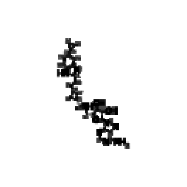 Nc1ncnc2c1ncn2[C@@H]1O[C@H](CNC[C@H]2C[C@H](CCc3nc4cc(C5CC5)ccc4[nH]3)C2)[C@@H](O)[C@H]1O